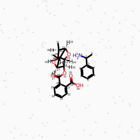 CC(N)c1ccccc1.C[C@@H]1[C@@H]2O[C@@H]3[C@@H](OC(=O)c4ccccc4C(=O)O)[C@H]1O[C@@H]3[C@H]2C